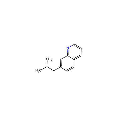 CC(C)Cc1ccc2cccnc2c1